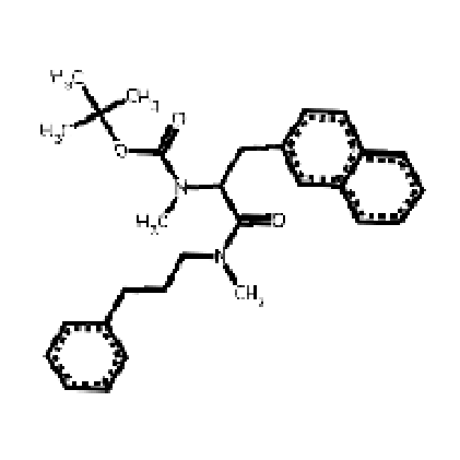 CN(CCCc1ccccc1)C(=O)C(Cc1ccc2ccccc2c1)N(C)C(=O)OC(C)(C)C